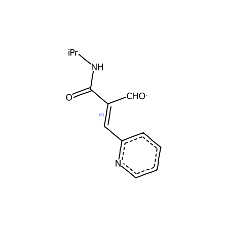 CC(C)NC(=O)/C([C]=O)=C/c1ccccn1